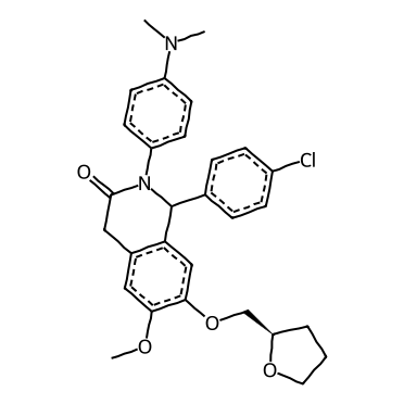 COc1cc2c(cc1OC[C@H]1CCCO1)C(c1ccc(Cl)cc1)N(c1ccc(N(C)C)cc1)C(=O)C2